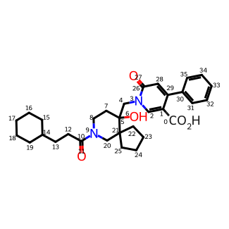 O=C(O)c1cn(CC2(O)CCN(C(=O)CCC3CCCCC3)CC23CCCC3)c(=O)cc1-c1ccccc1